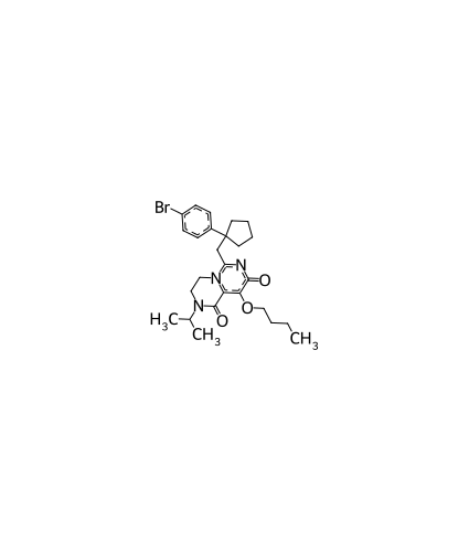 CCCCOc1c2n(c(CC3(c4ccc(Br)cc4)CCCC3)nc1=O)CCN(C(C)C)C2=O